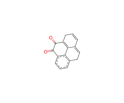 O=C1C(=O)c2cccc3c2C2=C1CC=CC2=CC3